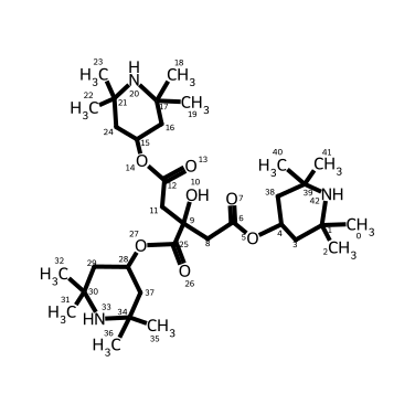 CC1(C)CC(OC(=O)CC(O)(CC(=O)OC2CC(C)(C)NC(C)(C)C2)C(=O)OC2CC(C)(C)NC(C)(C)C2)CC(C)(C)N1